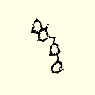 O=c1c2ccncc2ncn1Cc1ccc(-c2cccnc2)cc1